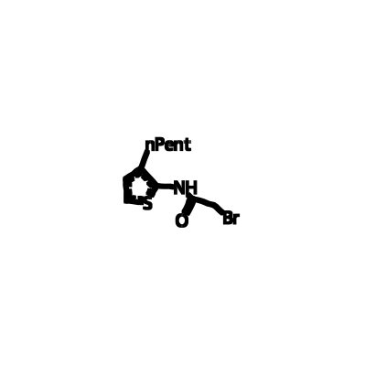 CCCCCc1ccsc1NC(=O)CBr